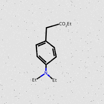 CCOC(=O)Cc1ccc(N(CC)CC)cc1